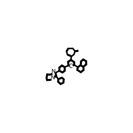 C=C1CC=CC=C(c2cc(-c3ccc(-c4nc5ccccn5c4-c4ccccc4)cc3)cc(-c3cccc4ccccc34)c2)C1